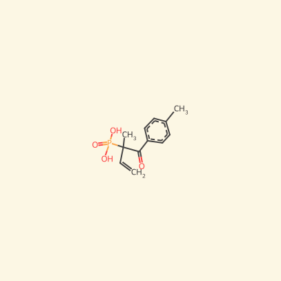 C=CC(C)(C(=O)c1ccc(C)cc1)P(=O)(O)O